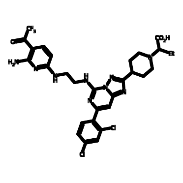 CCC(C(=O)O)N1CCC(c2nc3cc(-c4ccc(Cl)cc4Cl)nc(NCCNc4ccc(C(=O)C(F)(F)F)c(N)n4)n3n2)CC1